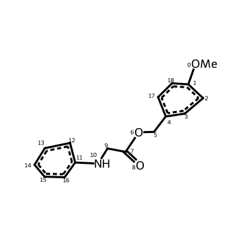 COc1ccc(COC(=O)CNc2ccccc2)cc1